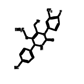 CCOC(=O)OC1=C(CBr)N(c2ccc(F)c(C(F)(F)F)c2)C(=O)NC1c1ccc(C#N)cc1